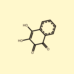 O=C1C(=O)c2ccccc2C(O)=C1O